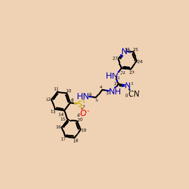 N#C/N=C(\NCCN[S+]([O-])c1ccccc1-c1ccccc1)Nc1cccnc1